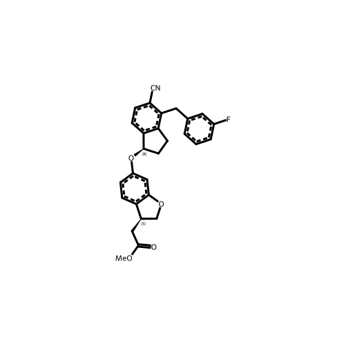 COC(=O)C[C@@H]1COc2cc(O[C@@H]3CCc4c3ccc(C#N)c4Cc3cccc(F)c3)ccc21